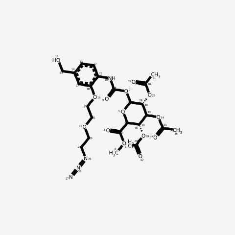 COC(=O)C1OC(OC(=O)Nc2ccc(CO)cc2OCCOCCN=[N+]=[N-])[C@H](OC(C)=O)C(OC(C)=O)[C@@H]1OC(C)=O